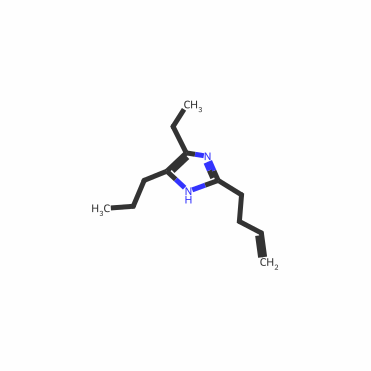 C=CCCc1nc(CC)c(CCC)[nH]1